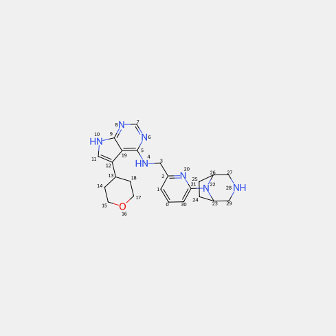 c1cc(CNc2ncnc3[nH]cc(C4CCOCC4)c23)nc(N2C3CCC2CNC3)c1